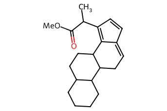 COC(=O)C(C)C1=C2C(=CCC3C2CCC2CCCCC23)C=C1